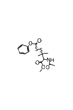 COC(=O)C(NC(C)=O)C(C)(C)SSC(=O)Oc1ccccc1